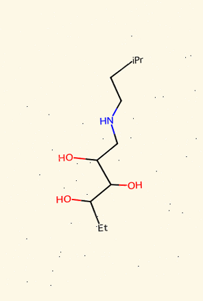 CCC(O)C(O)C(O)CNCCC(C)C